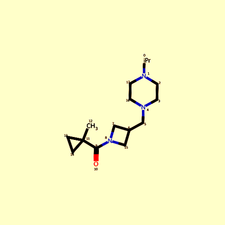 CC(C)N1CCN(CC2CN(C(=O)C3(C)CC3)C2)CC1